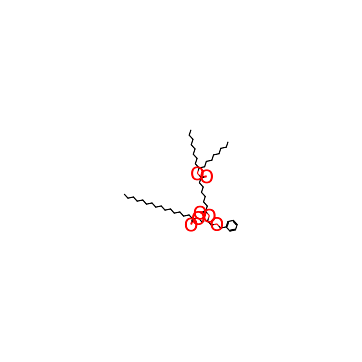 CCCCCCCCCCCCCCCC(=O)OC[C@@H](COCc1ccccc1)OC(=O)CCCCCCC(=O)OC(CCCCCCCC)CCCCCCCC